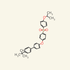 CC(C)Oc1ccc(S(=O)(=O)c2ccc(Oc3ccc(-c4ccc(C(C)(C)C)cc4)cc3)cc2)cc1